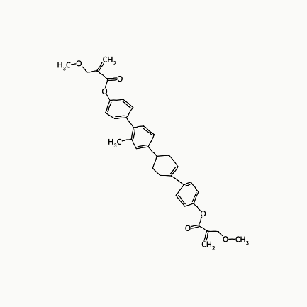 C=C(COC)C(=O)Oc1ccc(C2=CCC(c3ccc(-c4ccc(OC(=O)C(=C)COC)cc4)c(C)c3)CC2)cc1